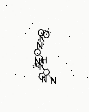 C[C@@H]1CN(c2ccc(C#N)c3ncccc23)C[C@@H]2Cc3cc(N4CCN(C(=O)OC(C)(C)C)CC4)ccc3CN21